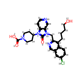 O=C(O)N1CCC(n2c(=O)n(Cc3ncc4cc(Cl)ccc4c3CCCCO)c3cnccc32)CC1